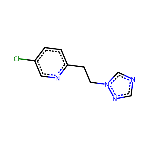 Clc1ccc(CCn2cncn2)nc1